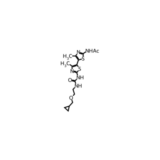 CC(=O)Nc1nc(C)c(-c2sc(NC(=O)NCCOCC3CC3)nc2C)s1